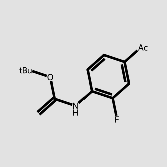 C=C(Nc1ccc(C(C)=O)cc1F)OC(C)(C)C